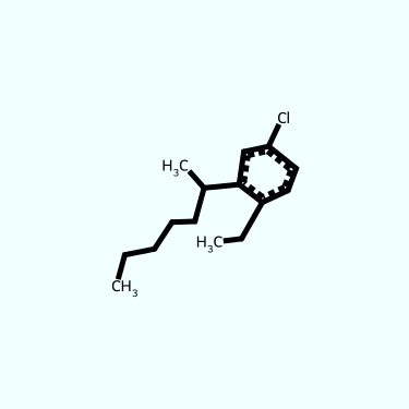 CCCCCC(C)c1cc(Cl)ccc1CC